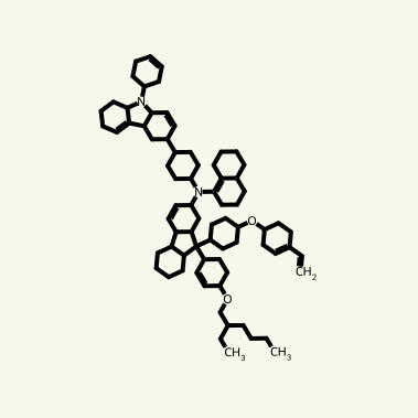 C=CC1=CCC(OC2CCC(C3(C4C=CC(OCC(CC)CCCC)CC4)C4CC(N(C5=C6CCCCC6CCC5)C5CCC(C6C=CC7C(C6)C6=CCCCC6N7C6CC=CCC6)CC5)C=CC4C4CCCCC43)CC2)CC1